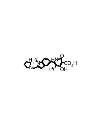 CC(C)c1c(-c2ccc3c(c2)cc(CN2CCCC2)n3C)[nH]c(=O)c(C(=O)O)c1O